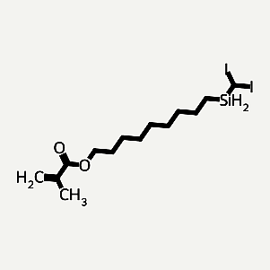 C=C(C)C(=O)OCCCCCCCCC[SiH2]C(I)I